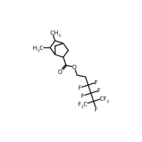 CC1C2CC(C(=O)OCCC(F)(F)C(F)(F)C(F)(C(F)(F)F)C(F)(F)F)C(C2)C1C